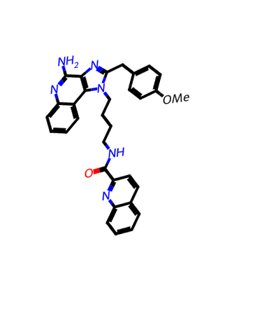 COc1ccc(Cc2nc3c(N)nc4ccccc4c3n2CCCCNC(=O)c2ccc3ccccc3n2)cc1